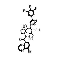 O=C(N[C@@H]1CCO[C@]12O[C@H](CO)[C@H](O)[C@H](n1cc(-c3cc(F)c(F)c(F)c3)nn1)[C@H]2O)c1ccc(Br)c2ncccc12